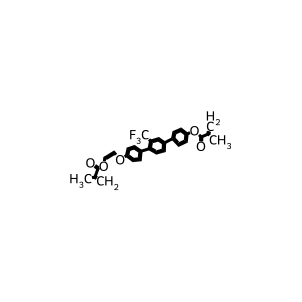 C=C(C)C(=O)O/C=C\Oc1ccc(-c2ccc(-c3ccc(OC(=O)C(=C)C)cc3)cc2C(F)(F)F)cc1